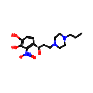 CCCN1CCN(CCC(=O)c2ccc(O)c(O)c2[N+](=O)[O-])CC1